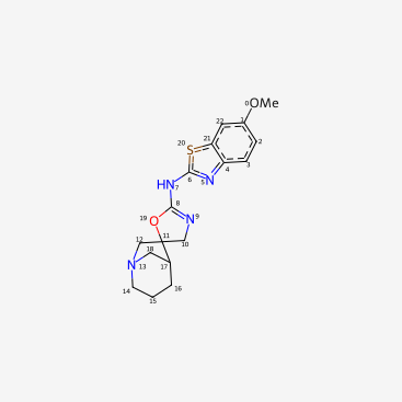 COc1ccc2nc(NC3=NCC4(CN5CCCC4C5)O3)sc2c1